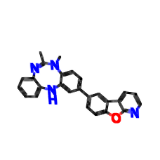 Cc1nc2ccccc2[nH]c2cc(-c3ccc4oc5ncccc5c4c3)ccc2n1C